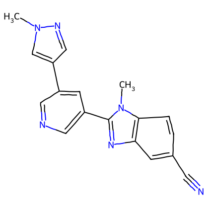 Cn1cc(-c2cncc(-c3nc4cc(C#N)ccc4n3C)c2)cn1